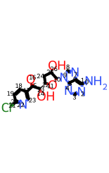 Nc1ncnc2c1ncn2[C@@H]1O[C@H](C(O)C(=O)c2ccc(Cl)nc2)C[C@H]1O